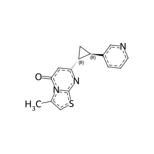 Cc1csc2nc([C@@H]3C[C@H]3c3cccnc3)cc(=O)n12